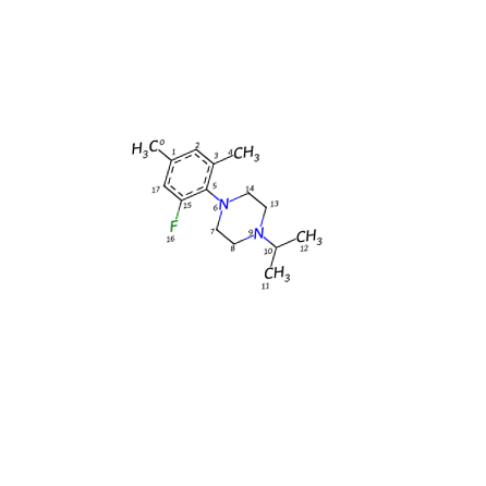 Cc1cc(C)c(N2CCN(C(C)C)CC2)c(F)c1